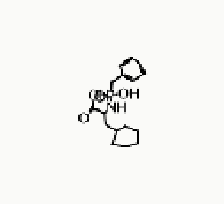 O=C(O)C(CC1CCCCC1)NP(=O)(O)Cc1ccccc1